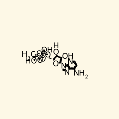 CP(=O)(O)OP(=O)(O)OC[C@H]1O[C@@H](n2cnc3c(N)ccnc32)C(O)C1O